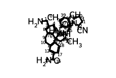 C=C(N)c1ccc2c(c1)CCc1cc(C(N)=O)ccc1C2(C[C@@H](C)NCC(=O)N1CCCC1C#N)C(=N)Nc1ccc(C)cc1